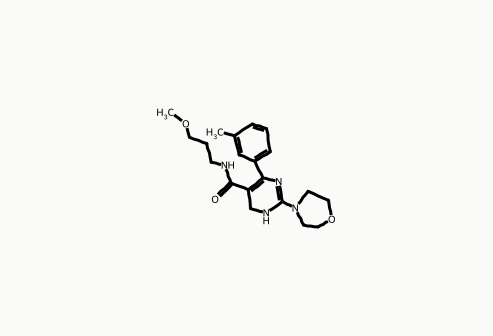 COCCCNC(=O)C1=C(c2cccc(C)c2)N=C(N2CCOCC2)NC1